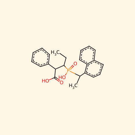 CCC(C(C(=O)O)c1ccccc1)P(=O)(O)C(C)c1cccc2ccccc12